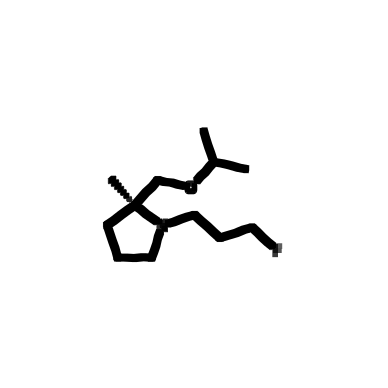 CC(C)OC[C@]1(C)CCCN1CCCF